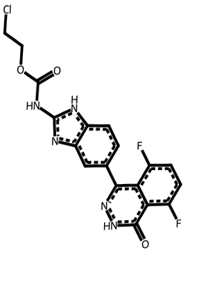 O=C(Nc1nc2cc(-c3n[nH]c(=O)c4c(F)ccc(F)c34)ccc2[nH]1)OCCCl